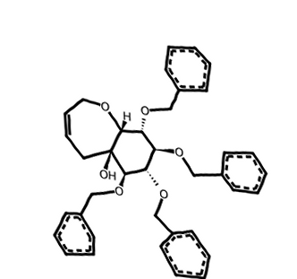 O[C@@]12CC=CCO[C@@H]1[C@H](OCc1ccccc1)[C@@H](OCc1ccccc1)[C@H](OCc1ccccc1)[C@H]2OCc1ccccc1